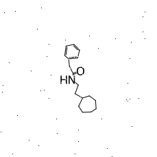 O=C(Cc1ccccc1)NCCC1CCCCCC1